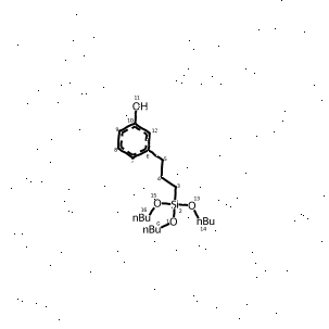 CCCCO[Si](CCCc1cccc(O)c1)(OCCCC)OCCCC